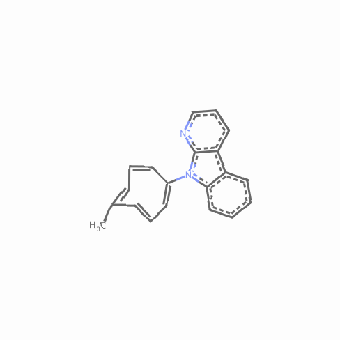 CC1=C\C=C/C(n2c3ccccc3c3cccnc32)=C\C=C\1